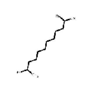 CC(C)C(C)CCCCCCCCC(C#N)C(C)C